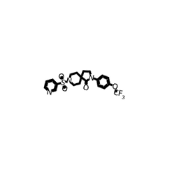 O=C1N(c2ccc(OC(F)(F)F)cc2)CCC12CCN(S(=O)(=O)c1cccnc1)CC2